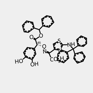 O=C(O)C(=NO[C@@H](C(=O)OC(c1ccccc1)c1ccccc1)c1ccc(O)c(O)c1)c1csc(NC(c2ccccc2)(c2ccccc2)c2ccccc2)n1